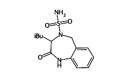 CCC(C)C1C(=O)Nc2ccccc2CN1S(N)(=O)=O